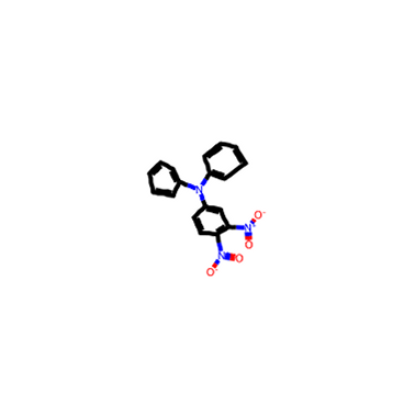 O=[N+]([O-])c1ccc(N(c2ccccc2)c2ccccc2)cc1[N+](=O)[O-]